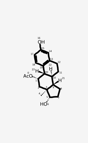 CC(=O)O[C@H]1C[C@]2(C)[C@@H](O)CC[C@H]2[C@@H]2CCc3cc(O)ccc3[C@H]21